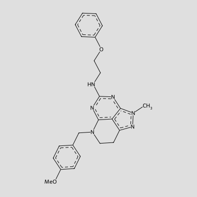 COc1ccc(CN2CCc3nn(C)c4nc(NCCOc5ccccc5)nc2c34)cc1